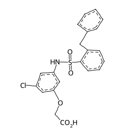 O=C(O)COc1cc(Cl)cc(NS(=O)(=O)c2ccccc2Cc2ccccc2)c1